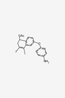 CC(=O)OC1CC(I)=C(I)c2cc(Oc3ccc(N)cn3)ccc21